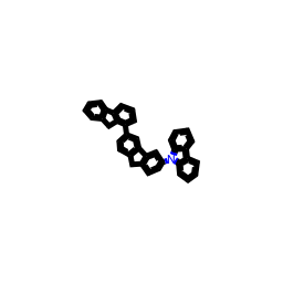 c1ccc2c(c1)Cc1c(-c3ccc4c(c3)-c3cc(-n5c6ccccc6c6ccccc65)ccc3C4)cccc1-2